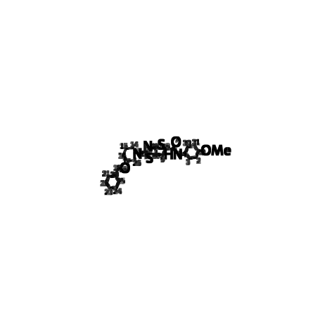 COc1ccc(NC(=O)c2cc3sc(N4CCCC(OCc5ccccc5)C4)nc3s2)cc1